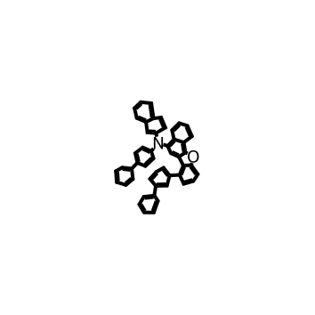 c1ccc(-c2ccc(N(c3ccc4ccccc4c3)c3cc4c(oc5cccc(-c6cccc(-c7ccccc7)c6)c54)c4ccccc34)cc2)cc1